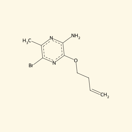 C=CCCOc1nc(Br)c(C)nc1N